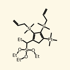 C=CC[Si](C)(C)C1=C(C(CC)[Si](OCC)(OCC)OCC)C[C]([Pt]([CH3])([CH3])[CH3])=C1[Si](C)(C)CC=C